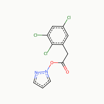 O=C(Cc1cc(Cl)cc(Cl)c1Cl)On1cccn1